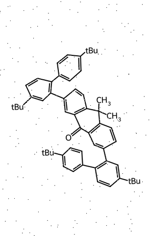 CC(C)(C)c1ccc(-c2ccc(C(C)(C)C)cc2-c2ccc3c(c2)C(=O)c2cc(-c4cc(C(C)(C)C)ccc4-c4ccc(C(C)(C)C)cc4)ccc2C3(C)C)cc1